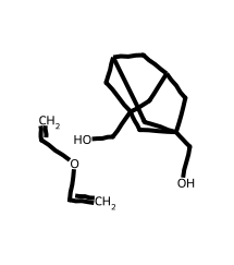 C=COC=C.OCC12CC3CC(C1)CC(CO)(C3)C2